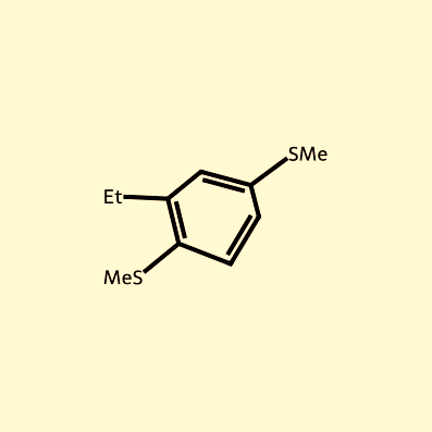 [CH2]Cc1cc(SC)ccc1SC